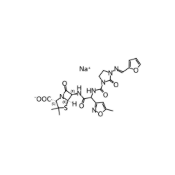 Cc1cc(C(NC(=O)N2CCN(N=Cc3ccco3)C2=O)C(=O)N[C@@H]2C(=O)N3[C@@H]2SC(C)(C)[C@@H]3C(=O)[O-])no1.[Na+]